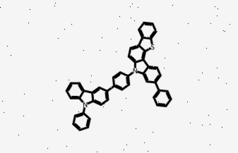 c1ccc(-c2ccc3c4c5sc6ccccc6c5ccc4n(-c4ccc(-c5ccc6c(c5)c5ccccc5n6-c5ccccc5)cc4)c3c2)cc1